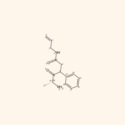 C=CCNC(=O)CC(C(=O)[C@@H](C)N)c1ccccc1